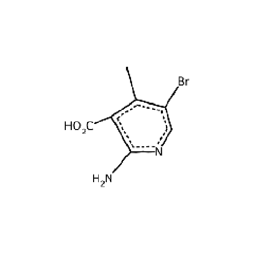 Cc1c(Br)cnc(N)c1C(=O)O